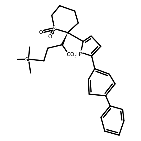 C[Si](C)(C)CCC(C(=O)O)[C@]1(c2ccc(-c3ccc(-c4ccccc4)cc3)s2)CCCCS1(=O)=O